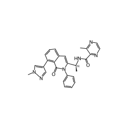 Cc1nccnc1C(=O)N[C@@H](C)c1cc2cccc(-c3cnn(C)c3)c2c(=O)n1-c1ccccc1